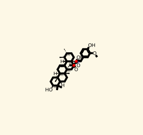 COc1cc(/C=C/C(=O)C[C@@]23CC[C@@]4(C(=O)O)CC[C@@H](C)[C@H](C)[C@H]4C2=CC[C@@H]2[C@@]4(C)CC[C@H](O)C(C)(C)[C@@H]4CC[C@]23C)ccc1O